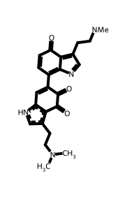 CNCCC1=C2C(=O)C=CC(C3=Cc4[nH]cc(CCN(C)C)c4C(=O)C3=O)=C2N=C1